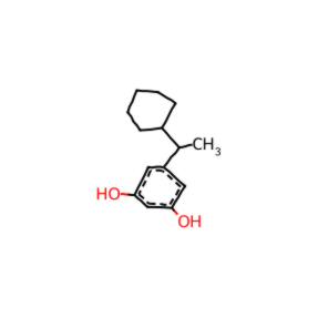 CC(c1cc(O)cc(O)c1)C1CCCCC1